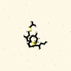 CCCC(C)C1C2C=CC3(CC(C)CCSCC(C)C)CCC(C)CCS213(C)C